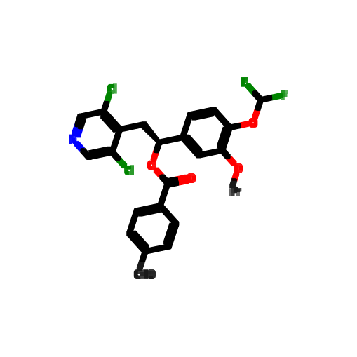 CC(C)Oc1cc([C@H](Cc2c(Cl)cncc2Cl)OC(=O)c2ccc(C=O)cc2)ccc1OC(F)F